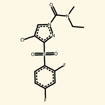 CCN(C)C(=O)n1cc(Cl)c(S(=O)(=O)c2ccc(F)cc2F)n1